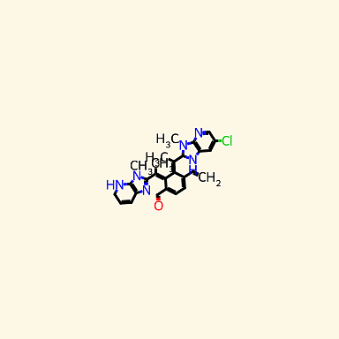 C=Cc1ccc(C=O)c(=C(/C)c2nc3c(n2C)NCC=C3)/c1=C(\C)C1Nc2cc(Cl)cnc2N1C